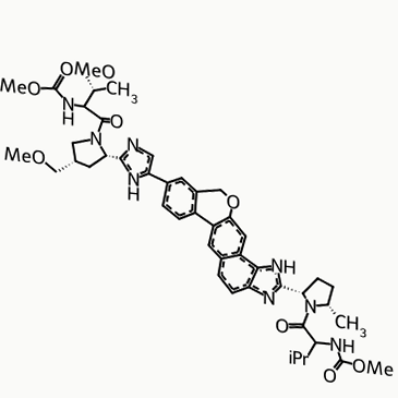 COC[C@H]1C[C@@H](c2ncc(-c3ccc4c(c3)COc3cc5c(ccc6nc([C@@H]7CC[C@H](C)N7C(=O)C(NC(=O)OC)C(C)C)[nH]c65)cc3-4)[nH]2)N(C(=O)C(NC(=O)OC)[C@@H](C)OC)C1